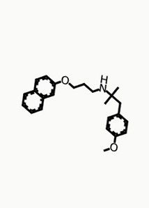 COc1ccc(CC(C)(C)NCCCOc2ccc3ccccc3c2)cc1